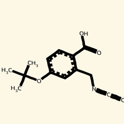 CC(C)(C)Oc1ccc(C(=O)O)c(CN=C=O)c1